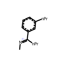 CCC/C(=N\C)c1cccc(CCC)c1